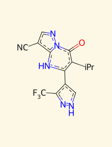 CC(C)c1c(-c2c[nH]nc2C(F)(F)F)[nH]c2c(C#N)cnn2c1=O